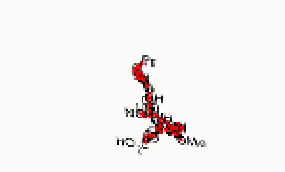 COc1ccc(C(NCCCC[C@H](NC(=O)C[C@H](Cc2ccc(C#N)cc2)NC(=O)CCC(=O)NCCCO[C@H]2CC[C@@]3(C)C(=CC[C@H]4[C@@H]5CC[C@H]([C@H](C)CCCC(C)C)[C@@]5(C)CC[C@@H]43)C2)C(=O)Nc2ccc(COC(=O)Oc3ccc(C(=O)O)cc3)cc2)(c2ccccc2)c2ccccc2)cc1